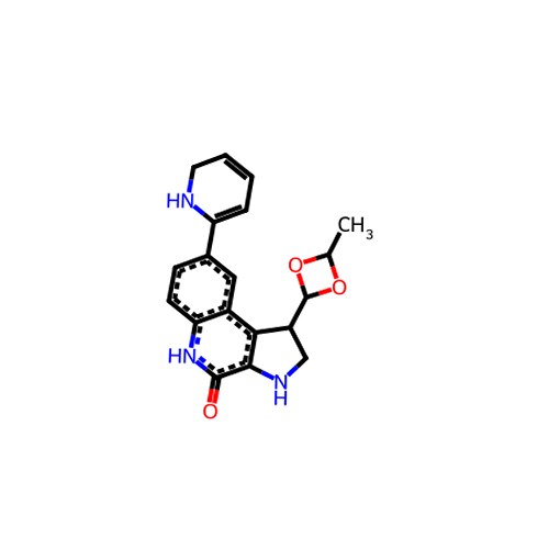 CC1OC(C2CNc3c2c2cc(C4=CC=CCN4)ccc2[nH]c3=O)O1